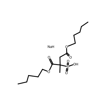 CCCCCOC(=O)CC(C)(C(=O)OCCCCC)S(=O)(=O)O.[NaH]